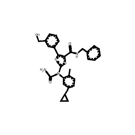 Cc1ccc(C2CC2)cc1N(C(N)=O)c1nc(-c2cccc(CO)c2)c(C(=O)NCc2ccccc2)s1